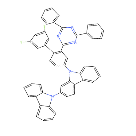 Fc1cc(F)cc(-c2ccc(-n3c4ccccc4c4ccc(-n5c6ccccc6c6ccccc65)cc43)cc2-c2nc(-c3ccccc3)nc(-c3ccccc3)n2)c1